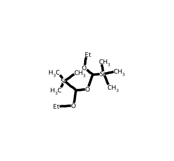 CCOC(OC(OCC)[Si](C)(C)C)[Si](C)(C)C